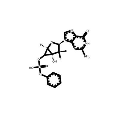 C[C@]1(F)[C@H](n2cnc3c(=O)[nH]c(N)nc32)O[C@@H]2C(OP(=O)(O)Oc3ccccc3)[C@@]21O